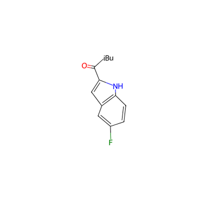 CCC(C)C(=O)c1cc2cc(F)ccc2[nH]1